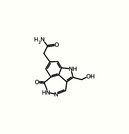 NC(=O)Cc1cc2c3c(c(CO)[nH]c3c1)C=NNC2=O